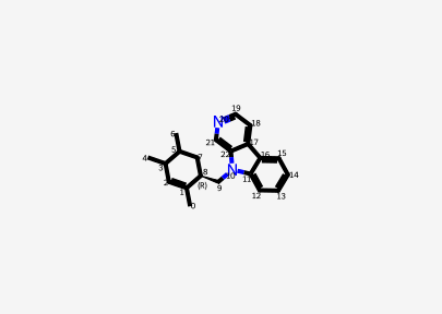 CC1=CC(C)C(C)C[C@H]1Cn1c2ccccc2c2ccncc21